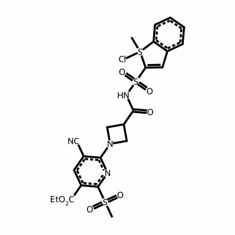 CCOC(=O)c1cc(C#N)c(N2CC(C(=O)NS(=O)(=O)C3=Cc4ccccc4S3(C)Cl)C2)nc1S(C)(=O)=O